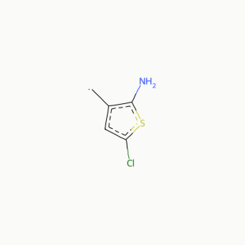 [CH2]c1cc(Cl)sc1N